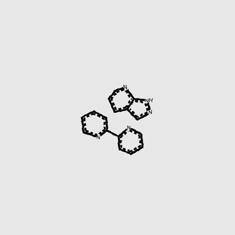 c1ccc(-c2ccccn2)nc1.c1cnc2[nH]ncc2c1